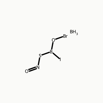 B.O=NSB(I)OBr